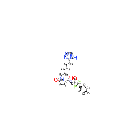 O=C1CCC(/C=C/C(O)C(F)(F)c2ccccc2)N1CCCCCCc1nnn[nH]1